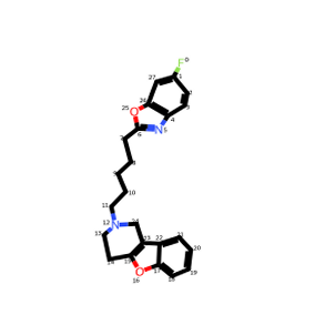 Fc1ccc2nc(CCCCCN3CCc4oc5ccccc5c4C3)oc2c1